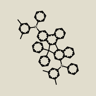 Cc1cc(C)cc(N(c2ccccc2)c2ccc3c4c(c5ccccc5c3c2)-c2c(cc(N(c3ccccc3)c3cc(C)cc(C)c3)c3ccccc23)C4(c2ccccc2)c2ccccc2)c1